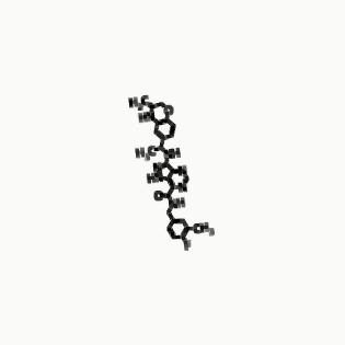 C=C1COc2ccc(C(C)Nc3n[nH]c4c(C(=O)NCc5ccc(F)c(C)c5)ncnc34)cc2N1